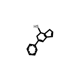 SC1CC(c2ccccc2)=CC2=C1CC=C2